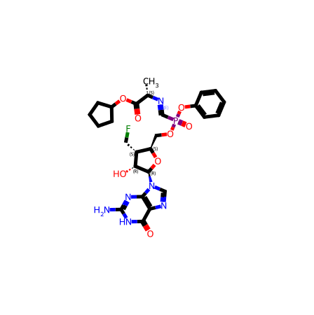 C[C@H](/N=C/P(=O)(OC[C@H]1O[C@@H](n2cnc3c(=O)[nH]c(N)nc32)[C@H](O)[C@@H]1CF)Oc1ccccc1)C(=O)OC1CCCC1